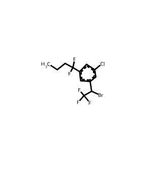 CCCC(F)(F)c1cc(Cl)cc(C(Br)C(F)(F)F)c1